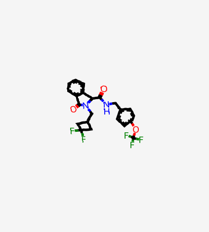 O=C(NCc1ccc(OC(F)(F)F)cc1)C1c2ccccc2C(=O)N1CC1CC(F)(F)C1